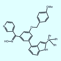 COc1ccc(COc2cc(C(=NO)c3cccnc3)cc(-c3cccc4[nH]c([Si](C(C)C)(C(C)C)C(C)C)cc34)c2)cc1